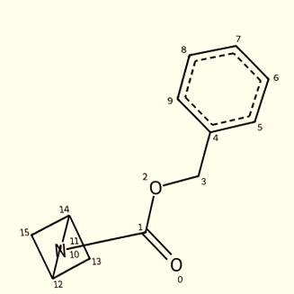 O=C(OCc1ccccc1)N1CC2CC1C2